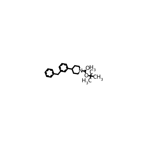 CC(C)(C)OC(=O)N1CCC(c2cccc(Cc3ccccc3)c2)CC1